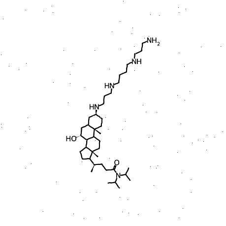 CC(C)N(C(=O)CC[C@@H](C)C1CCC2C3C(CC[C@@]21C)[C@@]1(C)CC[C@H](NCCCNCCCCNCCCN)CC1C[C@H]3O)C(C)C